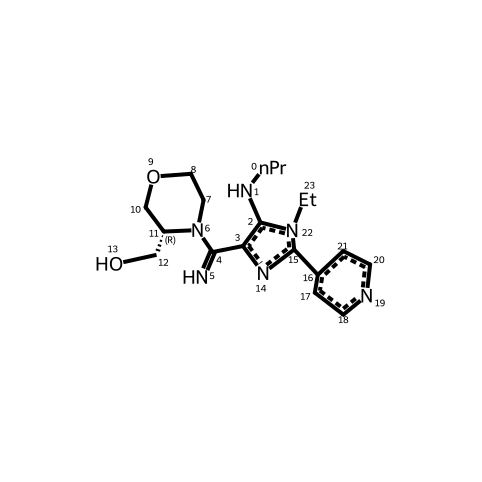 CCCNc1c(C(=N)N2CCOC[C@H]2CO)nc(-c2ccncc2)n1CC